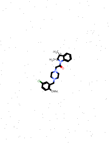 COc1ccc(Cl)cc1CN1CCN(CC(=O)N2c3ccccc3[C@@H](C)[C@H]2C)CC1